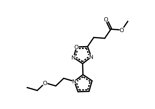 CCOCCn1cccc1-c1noc(CCC(=O)OC)n1